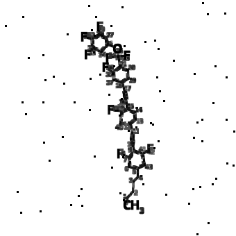 CCCCCc1cc(F)c(C#Cc2ccc(C#Cc3ccc(C(F)(F)Oc4cc(F)c(F)c(F)c4)c(F)c3)c(F)c2)c(F)c1